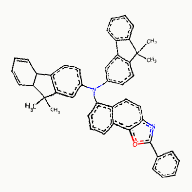 CC1(C)c2ccccc2-c2cc(N(c3ccc4c(c3)C(C)(C)C3C=CC=CC43)c3cccc4c3ccc3nc(-c5ccccc5)oc34)ccc21